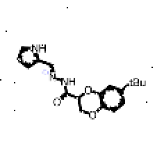 CC(C)(C)c1ccc2c(c1)OC(C(=O)N/N=C/c1ccc[nH]1)CO2